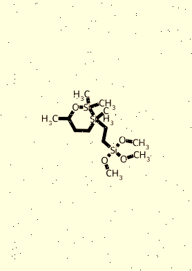 CO[Si](CC[Si]1(C)CCC(C)O[Si]1(C)C)(OC)OC